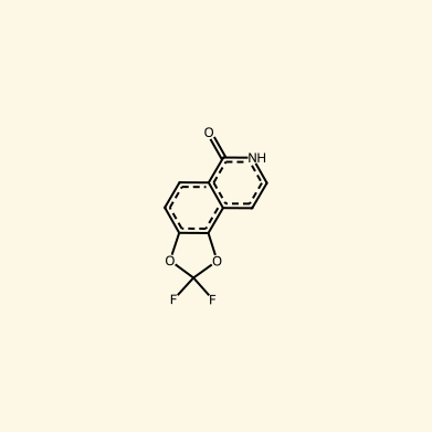 O=c1[nH]ccc2c3c(ccc12)OC(F)(F)O3